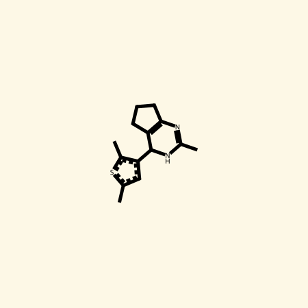 CC1=NC2=C(CCC2)C(c2cc(C)sc2C)N1